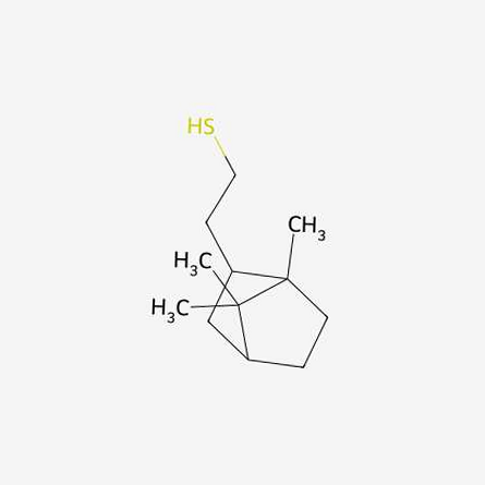 CC1(C)C2CCC1(C)C(CCS)C2